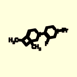 CC1CC2(C)CN(C3=C(F)CN(C(C)C)CC3)CC=C12